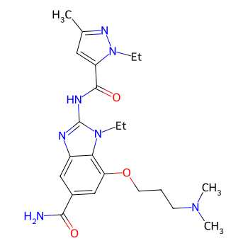 CCn1nc(C)cc1C(=O)Nc1nc2cc(C(N)=O)cc(OCCCN(C)C)c2n1CC